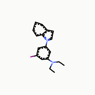 CCN(CC)c1cc(I)cc(-n2ccc3ccccc32)c1